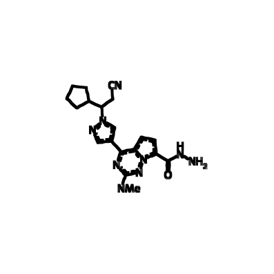 CNc1nc(-c2cnn(C(CC#N)C3CCCC3)c2)c2ccc(C(=O)NN)n2n1